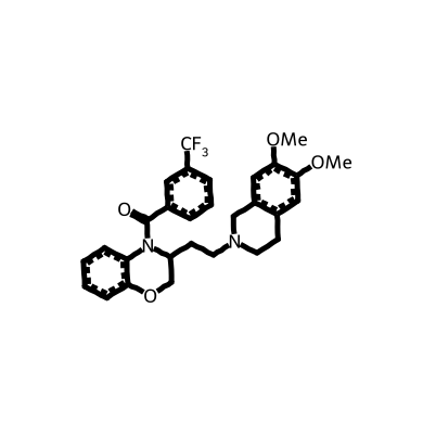 COc1cc2c(cc1OC)CN(CCC1COc3ccccc3N1C(=O)c1cccc(C(F)(F)F)c1)CC2